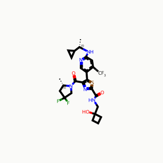 C[C@H](Nc1cc(C(F)(F)F)c(-c2sc(C(=O)NCC3(O)CCC3)nc2C(=O)N2CC(F)(F)C[C@@H]2C)cn1)C1CC1